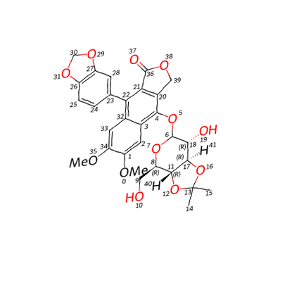 COc1cc2c(OC3O[C@H](CO)[C@H]4OC(C)(C)O[C@@H]4[C@H]3O)c3c(c(-c4ccc5c(c4)OCO5)c2cc1OC)C(=O)OC3